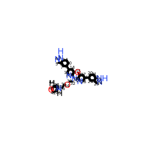 c1cc2[nH]ncc2cc1-c1cnc2c(c1)Oc1cc(-c3ccc4[nH]ncc4c3)cnc1N2CCOCCN1C[C@H]2C[C@@H]1CO2